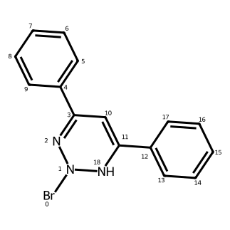 BrN1N=C(c2ccccc2)C=C(c2ccccc2)N1